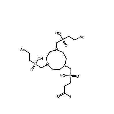 CC(=O)CCP(=O)(O)CN1CCN(CP(=O)(O)CCC(C)=O)CCN(CP(=O)(O)CCC(=O)I)CC1